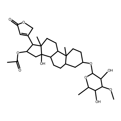 COC1C(O)C(C)OC(OC2CCC3(C)C(CCC4C3CCC3(C)C(C5=CC(=O)OC5)C(OC(C)=O)CC43O)C2)C1O